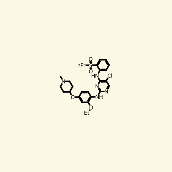 CCCS(=O)(=O)c1ccccc1Nc1nc(Nc2ccc(OC3CCN(C)CC3)cc2OCC)ncc1Cl